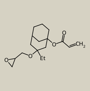 C=CC(=O)OC12CCCC(CC(CC)(OCC3CO3)C1)C2